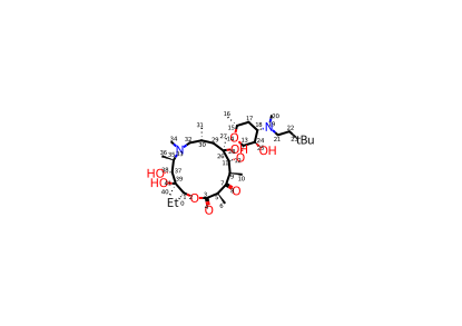 CC[C@H]1OC(=O)[C@H](C)C(=O)[C@H](C)[C@@H](O[C@@H]2O[C@H](C)C[C@H](N(C)CCC(C)(C)C)[C@H]2O)[C@](C)(O)C[C@@H](C)CN(C)[C@H](C)[C@@H](O)[C@]1(C)O